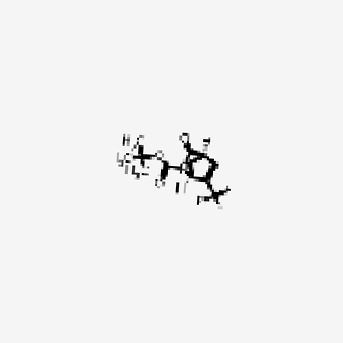 CC(C)(C)OC(=O)N1C(=O)[C@H]2C=C(C(F)(F)F)[C@@H]1C2